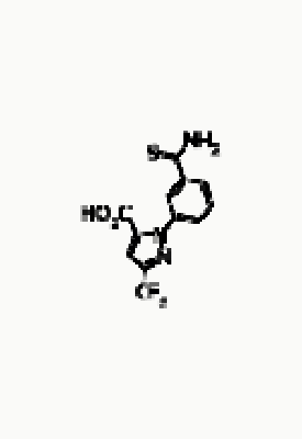 NC(=S)c1cccc(-n2nc(C(F)(F)F)cc2C(=O)O)c1